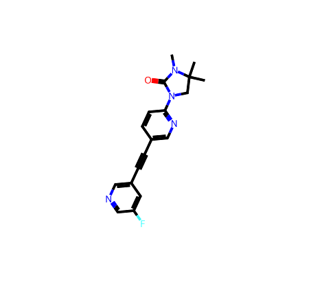 CN1C(=O)N(c2ccc(C#Cc3cncc(F)c3)cn2)CC1(C)C